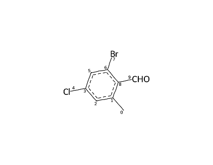 Cc1cc(Cl)cc(Br)c1C=O